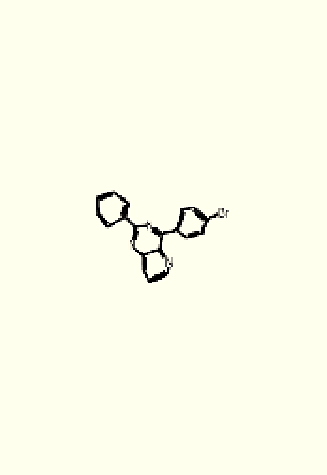 Brc1ccc(-c2nc(-c3ccccc3)nc3cccnc23)cc1